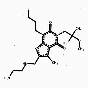 COC(C)(C)Cn1c(=O)c2c(C)c(CNCCN)sc2n(CCCF)c1=O